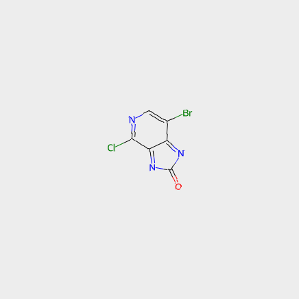 O=C1N=c2c(Br)cnc(Cl)c2=N1